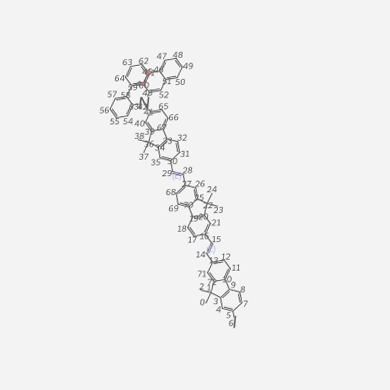 CC1(C)c2cc(I)ccc2-c2ccc(/C=C/c3ccc4c(c3)C(C)(C)c3cc(/C=C/c5ccc6c(c5)C(C)(C)c5cc(N(c7ccc8ccccc8c7)c7ccccc7-c7ccccc7)ccc5-6)ccc3-4)cc21